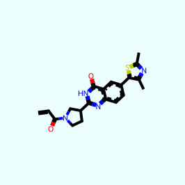 C=CC(=O)N1CCC(c2nc3ccc(-c4sc(C)nc4C)cc3c(=O)[nH]2)C1